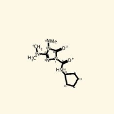 CNn1c(N(C)C)nn(C(=O)NC2CCCC2)c1=O